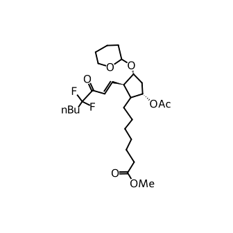 CCCCC(F)(F)C(=O)/C=C/[C@@H]1C(CCCCCCC(=O)OC)[C@@H](OC(C)=O)C[C@H]1OC1CCCCO1